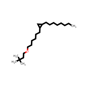 CCCCCCCCC1CC1CCCCCCOCCC(C)(C)C